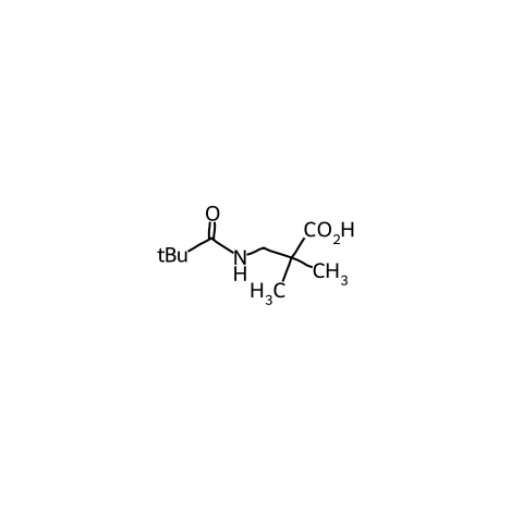 CC(C)(C)C(=O)NCC(C)(C)C(=O)O